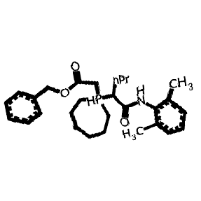 CCCC(C(=O)Nc1c(C)cccc1C)[PH]1(CC(=O)OCc2ccccc2)CCCCCC1